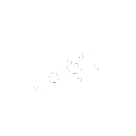 COc1ccc(Oc2nc(N)nc([N+](C)(C3CCCCCC3)C3CCN(C)CC3)n2)cc1Cl